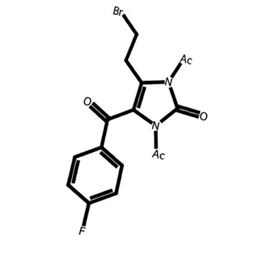 CC(=O)n1c(CCBr)c(C(=O)c2ccc(F)cc2)n(C(C)=O)c1=O